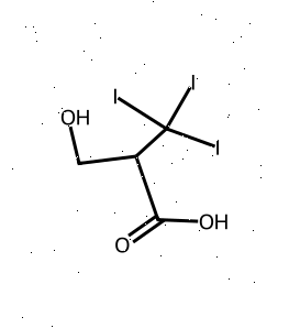 O=C(O)C(CO)C(I)(I)I